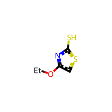 CCOc1csc(S)n1